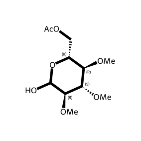 CO[C@H]1[C@H](OC)[C@@H](OC)C(O)O[C@@H]1COC(C)=O